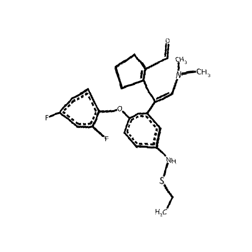 CCSNc1ccc(Oc2ccc(F)cc2F)c(/C(=C/N(C)C)C2=C(C=O)CCC2)c1